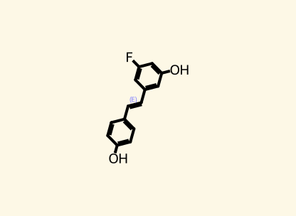 Oc1ccc(/C=C/c2cc(O)cc(F)c2)cc1